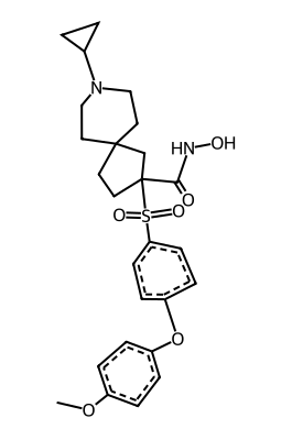 COc1ccc(Oc2ccc(S(=O)(=O)C3(C(=O)NO)CCC4(CCN(C5CC5)CC4)C3)cc2)cc1